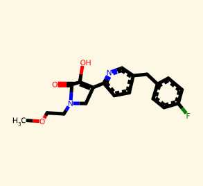 COCCN1CC(c2ccc(Cc3ccc(F)cc3)cn2)=C(O)C1=O